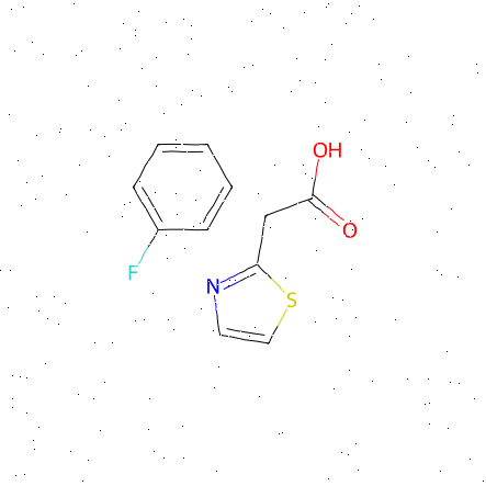 Fc1ccccc1.O=C(O)Cc1nccs1